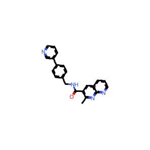 Cc1nc2ncccc2cc1C(=O)NCc1ccc(-c2cccnc2)cc1